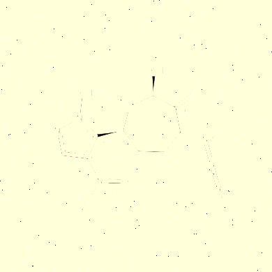 C[C@@H]1O[C@H](c2c([N+](=O)[O-])cnn2C)CC[C@@H](N=[N+]=[N-])C1=O